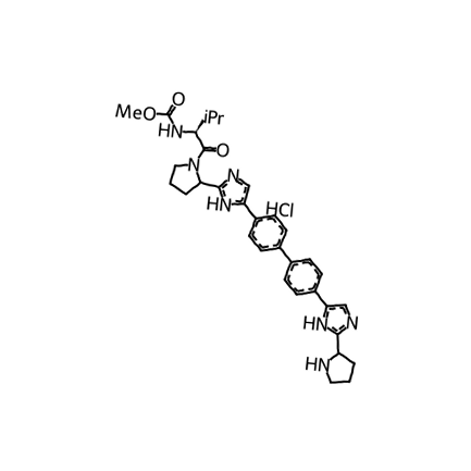 COC(=O)N[C@H](C(=O)N1CCCC1c1ncc(-c2ccc(-c3ccc(-c4cnc(C5CCCN5)[nH]4)cc3)cc2)[nH]1)C(C)C.Cl